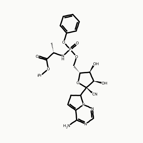 CC(C)OC(=O)[C@H](C)NP(=O)(OC[C@H]1O[C@@](C#N)(C2CC=C3C(N)=NC=NN32)[C@H](O)[C@@H]1O)Oc1ccccc1